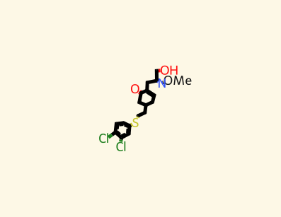 CON=C(CO)CC1=CCC(CCSc2ccc(Cl)c(Cl)c2)CC1=O